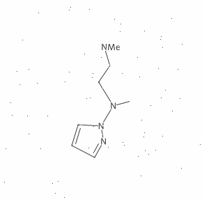 CNCCN(C)n1cccn1